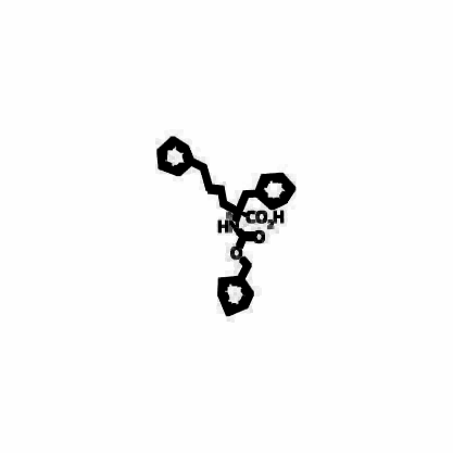 O=C(N[C@@](CC=CCc1ccccc1)(Cc1ccccc1)C(=O)O)OCc1ccccc1